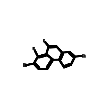 CCc1ccc2c(c1)cc(F)c1c(F)c(CC)ccc12